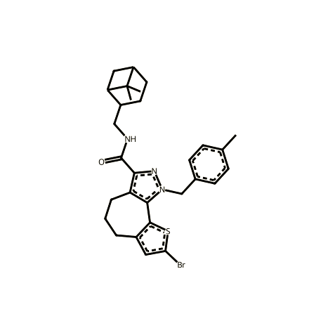 Cc1ccc(Cn2nc(C(=O)NCC3CCC4CC3C4(C)C)c3c2-c2sc(Br)cc2CCC3)cc1